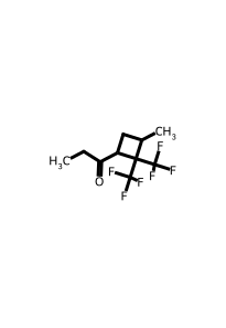 CCC(=O)C1CC(C)C1(C(F)(F)F)C(F)(F)F